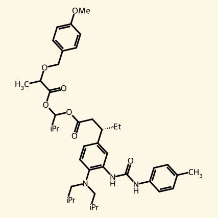 CC[C@@H](CC(=O)OC(OC(=O)C(C)OCc1ccc(OC)cc1)C(C)C)c1ccc(N(CC(C)C)CC(C)C)c(NC(=O)Nc2ccc(C)cc2)c1